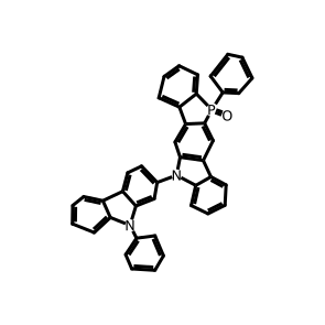 O=P1(c2ccccc2)c2ccccc2-c2cc3c(cc21)c1ccccc1n3-c1ccc2c3ccccc3n(-c3ccccc3)c2c1